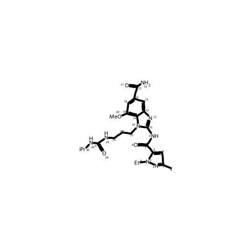 CCn1nc(C)cc1C(=O)Nc1nc2cc(C(N)=O)cc(OC)c2n1CCCNC(=O)NC(C)C